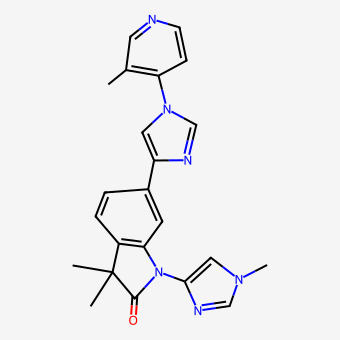 Cc1cnccc1-n1cnc(-c2ccc3c(c2)N(c2cn(C)cn2)C(=O)C3(C)C)c1